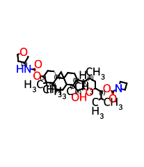 CC(C)[C@@H](OC(=O)N1CCC1)C1C[C@@H](C)[C@H]2C(O1)[C@H](O)[C@@]1(C)C3CC[C@H]4C(C)(C)[C@@H](OC(=O)N[C@H]5CCOC5)CC[C@@]45CC35CC[C@]21C